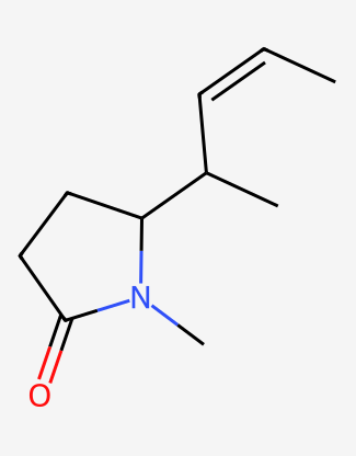 C/C=C\C(C)C1CCC(=O)N1C